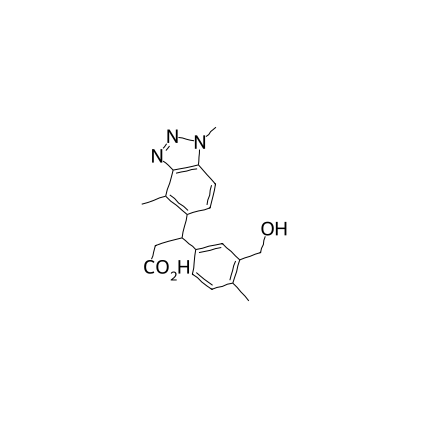 Cc1ccc(C(CC(=O)O)c2ccc3c(nnn3C)c2C)cc1CO